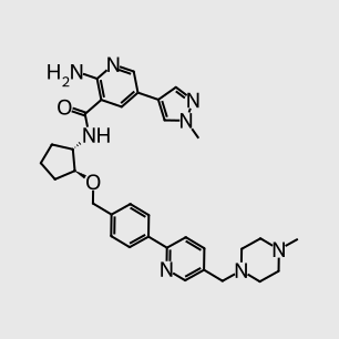 CN1CCN(Cc2ccc(-c3ccc(CO[C@H]4CCC[C@@H]4NC(=O)c4cc(-c5cnn(C)c5)cnc4N)cc3)nc2)CC1